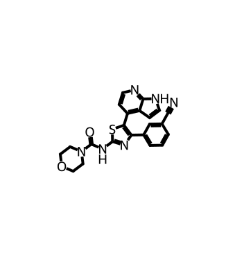 N#Cc1cccc(-c2nc(NC(=O)N3CCOCC3)sc2-c2ccnc3[nH]ccc23)c1